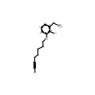 CC#CCCCCCOc1cccc(CN)c1F